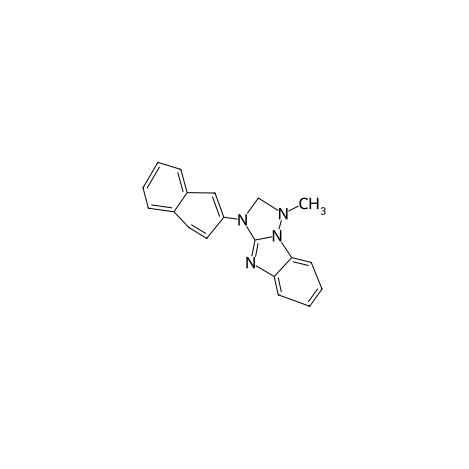 CN1CN(c2ccc3ccccc3c2)c2nc3ccccc3n21